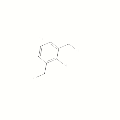 CCc1cccc(CC)c1N.[Zn]